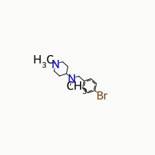 CN1CCC(N(C)Cc2ccc(Br)cc2)CC1